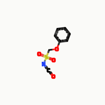 O=C=NS(=O)(=O)COc1ccccc1